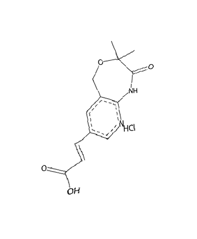 CC1(C)OCc2cc(/C=C/C(=O)O)cnc2NC1=O.Cl